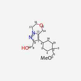 COCC1(C)CCC(c2c(CO)nn3c2COCC3)CC1